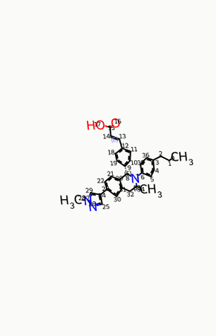 CCCc1ccc(N2[C@@H](c3ccc(/C=C/C(=O)O)cc3)c3ccc(-c4cnn(C)c4)cc3C[C@@H]2C)cc1